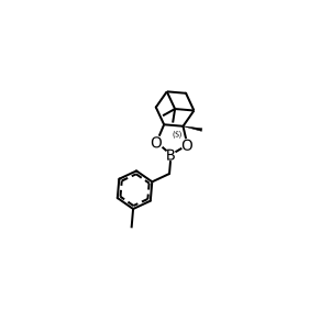 Cc1cccc(CB2OC3CC4CC(C4(C)C)[C@]3(C)O2)c1